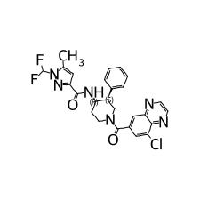 Cc1cc(C(=O)N[C@@H]2CCN(C(=O)c3cc(Cl)c4nccnc4c3)C[C@@H]2c2ccccc2)nn1C(F)F